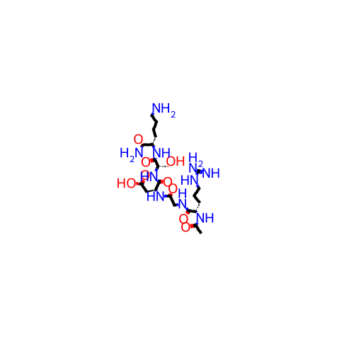 CC(=O)N[C@@H](CCCNC(=N)N)C(=O)NCC(=O)N[C@@H](CC(=O)O)C(=O)N[C@@H](CO)C(=O)N[C@@H](CCCCN)C(N)=O